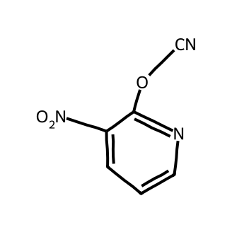 N#COc1ncccc1[N+](=O)[O-]